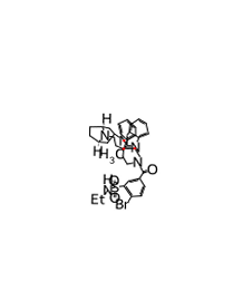 CCNS(=O)(=O)c1cc(C(=O)N2CCC(CCN3[C@@H]4CC[C@H]3CC(n3c(C)nc5ccccc53)C4)(c3ccccc3)CC2)ccc1Br